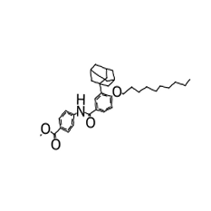 CCCCCCCCCCOc1ccc(C(=O)Nc2ccc(C(=O)OC)cc2)cc1C12CC3CC(CC(C3)C1)C2